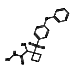 O=C(NO)C(O)C1(S(=O)(=O)c2ccc(Oc3ccccc3)cc2)CCC1